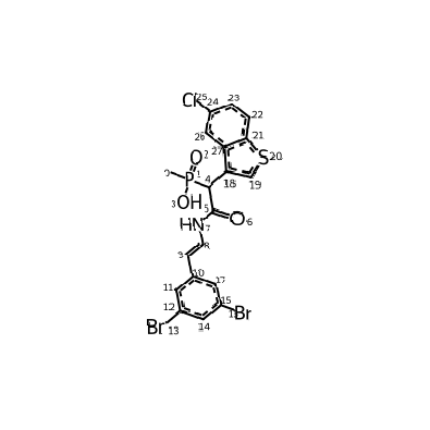 CP(=O)(O)C(C(=O)NC=Cc1cc(Br)cc(Br)c1)c1csc2ccc(Cl)cc12